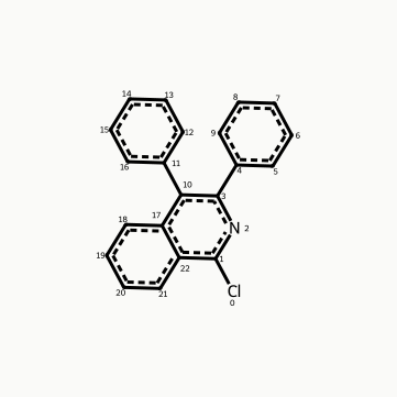 Clc1nc(-c2ccccc2)c(-c2ccccc2)c2ccccc12